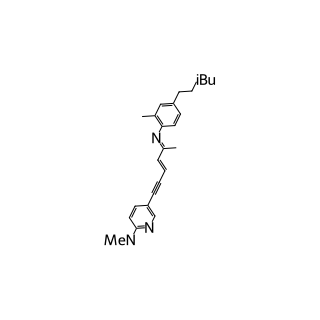 CCC(C)CCc1ccc(/N=C(C)/C=C/C#Cc2ccc(NC)nc2)c(C)c1